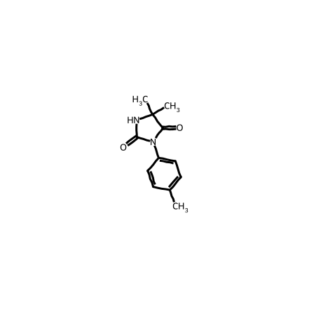 Cc1ccc(N2C(=O)NC(C)(C)C2=O)cc1